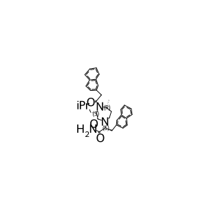 CC(C)C[C@H]1C(=O)N([C@@H](Cc2ccc3ccccc3c2)C(N)=O)CC[C@@H](C)N1C(=O)Cc1ccc2ccccc2c1